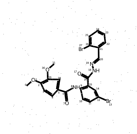 COc1ccc(C(=O)Nc2ccc(Br)cc2C(=O)N/N=C/c2ccccc2Br)cc1OC